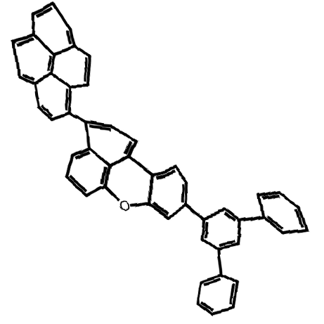 c1ccc(-c2cc(-c3ccccc3)cc(-c3ccc4c(c3)Oc3cccc5c(-c6ccc7ccc8cccc9ccc6c7c89)ccc-4c35)c2)cc1